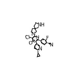 N#Cc1ccc(-c2nc(N3CCC4(CCNC4)C3)c(Cl)c(=O)n2-c2ccc(C3CC3)nc2)cc1F